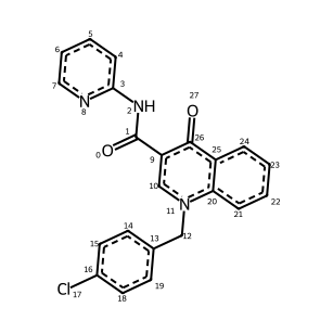 O=C(Nc1ccccn1)c1cn(Cc2ccc(Cl)cc2)c2ccccc2c1=O